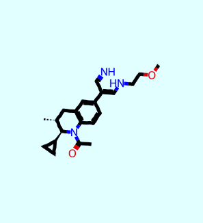 COCCN/C=C(\C=N)c1ccc2c(c1)C[C@@H](C)[C@H](C1CC1)N2C(C)=O